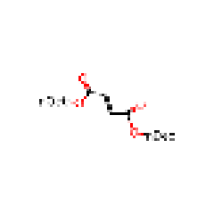 CCCCCCCCCCOC(=O)C=CC(=O)OCCCCCCCC